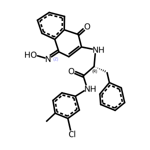 Cc1ccc(NC(=O)[C@@H](Cc2ccccc2)NC2=C/C(=N/O)c3ccccc3C2=O)cc1Cl